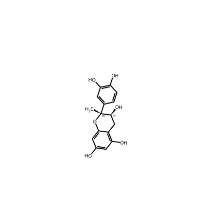 C[C@]1(c2ccc(O)c(O)c2)Oc2cc(O)cc(O)c2C[C@@H]1O